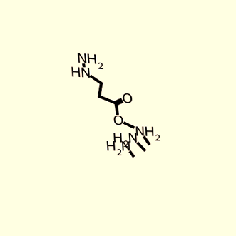 CN.CN.CN.COC(=O)CCNN